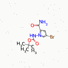 CC(C)(C)OC(=O)Nn1cc(Br)cc1C(N)=O